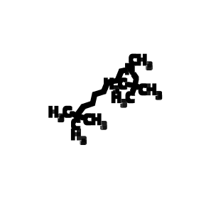 CN(CCCCCCCC(C)(C)C)CC(C)(C)C